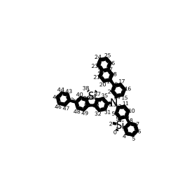 C[Si]1(C)c2ccccc2-c2ccc(N(c3cccc(-c4ccc5ccccc5c4)c3)c3ccc4c(c3)[Si](C)(C)c3cc(-c5ccccc5)ccc3-4)cc21